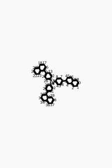 c1ccc2cc(-c3ccc(N(c4ccc(-c5cccc6ccccc56)cc4)c4ccc(-c5cccc6ccccc56)cc4)cc3)ccc2c1